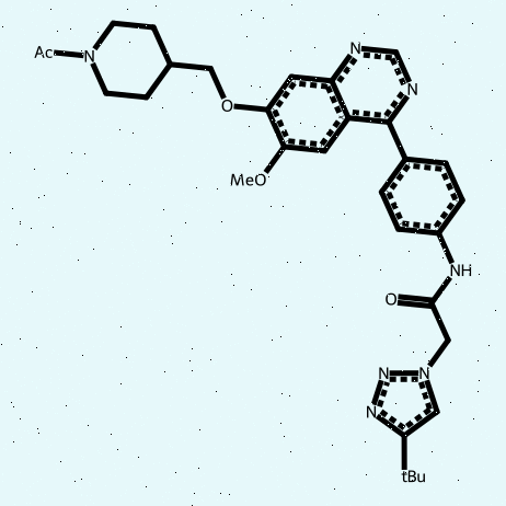 COc1cc2c(-c3ccc(NC(=O)Cn4cc(C(C)(C)C)nn4)cc3)ncnc2cc1OCC1CCN(C(C)=O)CC1